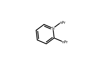 CCCc1cccc[si]1CCC